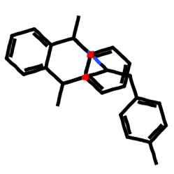 Cc1ccc(CC2C3N2C2(C)c4ccccc4C3(C)c3ccccc32)cc1